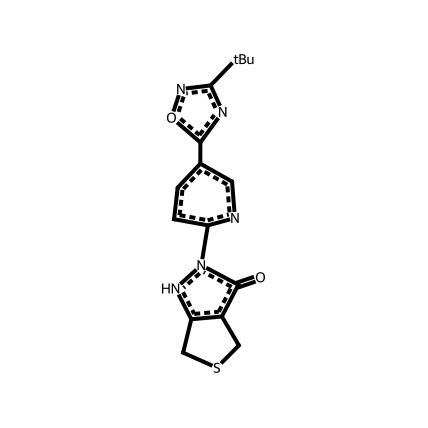 CC(C)(C)c1noc(-c2ccc(-n3[nH]c4c(c3=O)CSC4)nc2)n1